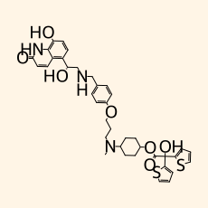 CN(CCCOc1ccc(CNC[C@H](O)c2ccc(O)c3[nH]c(=O)ccc23)cc1)C1CCC(OC(=O)C(O)(c2cccs2)c2cccs2)CC1